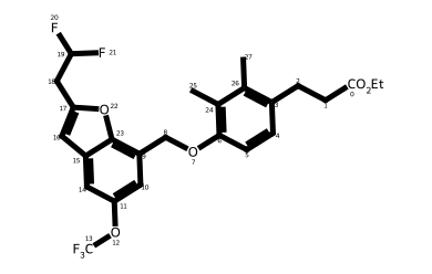 CCOC(=O)CCc1ccc(OCc2cc(OC(F)(F)F)cc3cc(CC(F)F)oc23)c(C)c1C